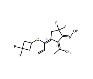 C=C/C(OC1CC(F)(F)C1)=C1/CC(F)(F)C(=N\O)/C1=C(/C)C(F)(F)F